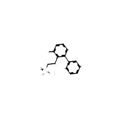 O=S(=O)(Cl)CCc1c(F)cccc1-c1ccccc1